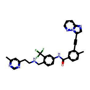 Cc1cc(CCNCc2ccc(NC(=O)c3ccc(C)c(C#Cc4cnc5cccnn45)c3)cc2C(F)(F)F)ncn1